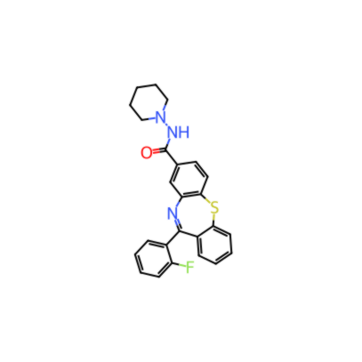 O=C(NN1CCCCC1)c1ccc2c(c1)N=C(c1ccccc1F)c1ccccc1S2